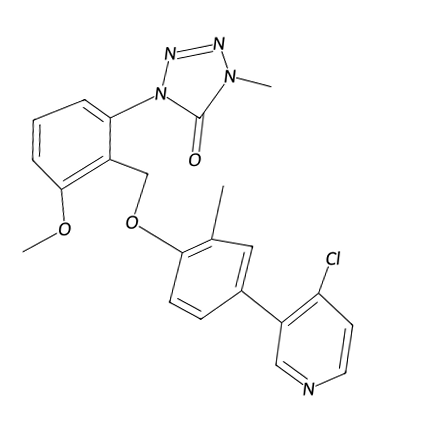 COc1cccc(-n2nnn(C)c2=O)c1COc1ccc(-c2cnccc2Cl)cc1C